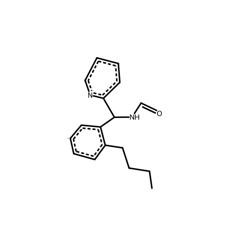 CCCCc1cc[c]cc1C(NC=O)c1ccccn1